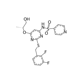 C[C@H](CO)Oc1cc(NS(=O)(=O)c2ccncc2)nc(SCc2cccc(F)c2F)n1